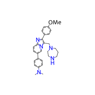 COc1ccc(-c2nc3ccc(-c4ccc(N(C)C)cc4)cn3c2CN2CCCNCC2)cc1